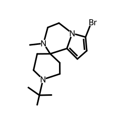 CN1CCn2c(Br)ccc2C12CCN(C(C)(C)C)CC2